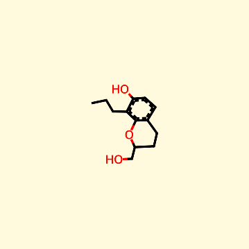 CCCc1c(O)ccc2c1OC(CO)CC2